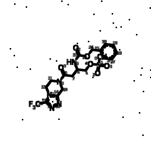 CS(=O)(=O)OCC(CC(=O)N1CCn2c(nnc2C(F)(F)F)C1)NC(=O)OCc1ccccc1